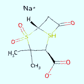 CC1(C)[C@H](C(=O)[O-])[SH]2C(=O)C[C@H]2S1(=O)=O.[Na+]